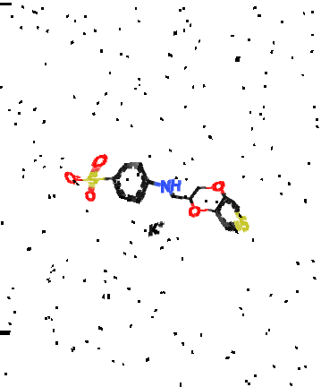 O=S(=O)([O-])c1ccc(NCC2COc3cscc3O2)cc1.[K+]